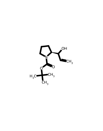 C=CC(O)[C@@H]1CCCN1C(=O)OC(C)(C)C